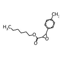 CCCCCCOC(=O)C1OC1c1ccc(C)cc1